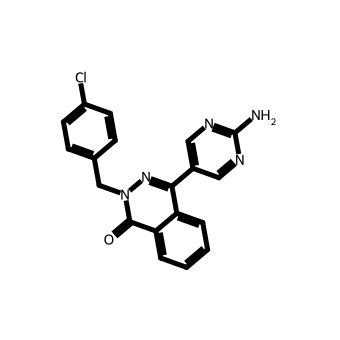 Nc1ncc(-c2nn(Cc3ccc(Cl)cc3)c(=O)c3ccccc23)cn1